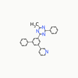 Cc1nc(-c2ccccc2)nc(-c2cc(-c3ccccc3)cc(-c3cccnc3)c2)n1